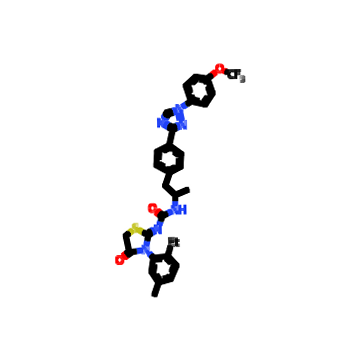 CCc1ccc(C)cc1N1C(=O)CS/C1=N\C(=O)NC(C)Cc1ccc(-c2ncn(-c3ccc(OC(F)(F)F)cc3)n2)cc1